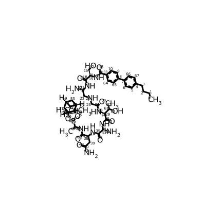 CCCCc1ccc(-c2ccc(C(=O)N[C@H](CO)C(=O)N[C@H](N)CNCC(=O)N[C@H](C(=O)N[C@@H](N)C(=O)NC(CC(N)=O)C(=O)N[C@@H](C)B3O[C@@H]4C[C@@H]5C[C@@H](C5(C)C)[C@]4(C)O3)C(C)O)cc2)cc1